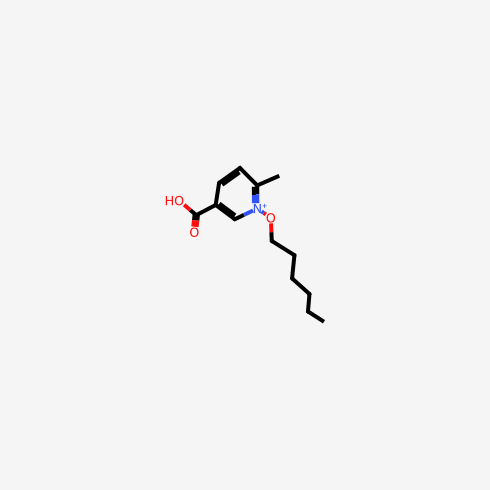 CCCCCCO[n+]1cc(C(=O)O)ccc1C